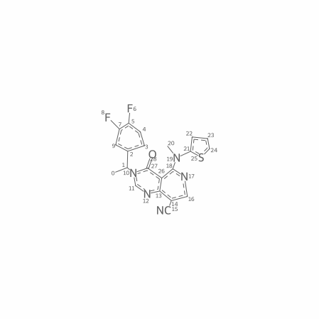 CC(c1ccc(F)c(F)c1)n1cnc2c(C#N)cnc(N(C)c3cccs3)c2c1=O